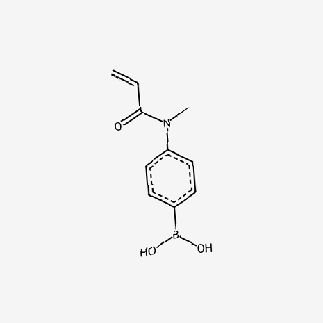 C=CC(=O)N(C)c1ccc(B(O)O)cc1